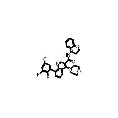 O=C(NN1CCOc2ccccc21)c1cnc2c(-c3cc(Cl)cc(F)c3F)cccc2c1N1CCOCC1